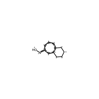 ON=c1cccc2c(c1)CCCC2